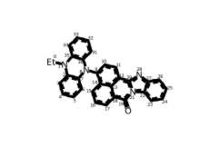 CCN1c2ccccc2N(c2ccc3c4c2cccc4c(=O)n2c4ccccc4nc32)c2ccccc21